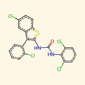 O=C(Nc1sc2ccc(Cl)cc2c1-c1ccccc1Cl)Nc1c(Cl)cccc1Cl